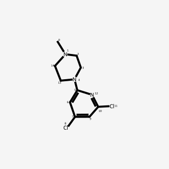 CN1CCN(c2cc(Cl)cc(Cl)n2)CC1